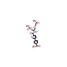 CC(C)C(=O)CCOCC(COC(=O)C(C)C)NC(=O)c1ccc(-c2ccc(C(=O)C(C)C)cc2)cn1